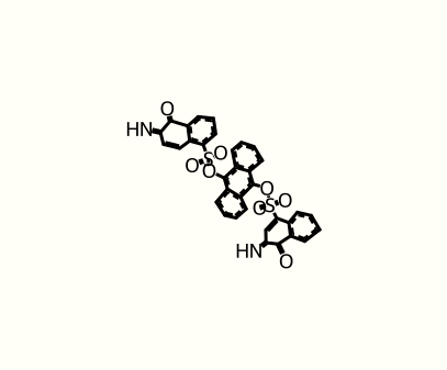 N=C1C=C(S(=O)(=O)Oc2c3ccccc3c(OS(=O)(=O)c3cccc4c3C=CC(=N)C4=O)c3ccccc23)c2ccccc2C1=O